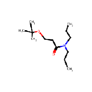 CCCN(CCC)C(=O)CCOC(C)(C)C